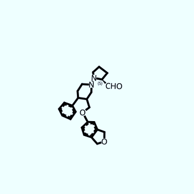 O=C[C@@H]1CCCN1N1CCC(c2ccccc2)C(COc2ccc3c(c2)COC3)C1